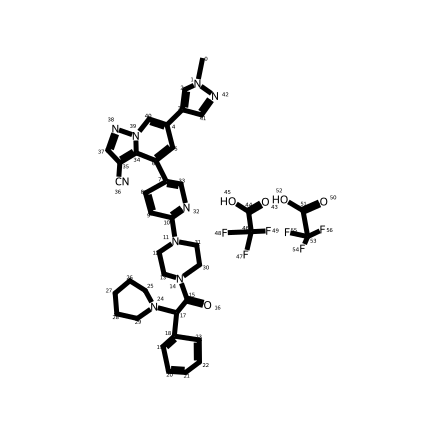 Cn1cc(-c2cc(-c3ccc(N4CCN(C(=O)C(c5ccccc5)N5CCCCC5)CC4)nc3)c3c(C#N)cnn3c2)cn1.O=C(O)C(F)(F)F.O=C(O)C(F)(F)F